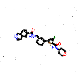 O=C(NCc1cccc(-c2cc(F)c(C(=O)NC3CCOCC3)s2)c1)c1ccc2cnccc2c1